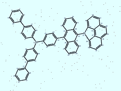 c1ccc(-c2ccc(N(c3ccc(-c4ccccc4)cc3)c3ccc(-c4c5ccccc5c(-n5c6cccc7ccc8cccc5c8c76)c5ccccc45)cc3)cc2)cc1